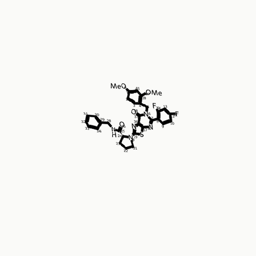 COc1ccc(Cn2c(-c3ccc(F)cc3F)nc3sc(N4CCC[C@@H]4C(=O)NCc4ccccc4)nc3c2=O)c(OC)c1